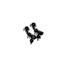 O=C(NC(c1ccc(F)cc1)c1ccccn1)C1CCN(CCOc2c(F)cccc2F)CC1.O=C(NC(c1ccc(F)cc1)c1ccccn1)C1CCN(CCOc2c(F)cccc2F)CC1